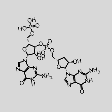 Nc1nc2c(ncn2[C@@H]2O[C@H](COP(=O)(O)O)[C@@H](OP(=O)(O)OC[C@@H]3C[C@@H](O)[C@H](n4cnc5c(=O)[nH]c(N)nc54)O3)[C@H]2O)c(=O)[nH]1